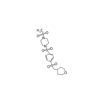 CS(=O)(=O)N1CCN(S(=O)(=O)c2ccc(S(=O)(=O)CC3CCOCC3)cc2)CC1